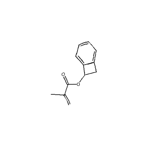 C=C(C)C(=O)OC1Cc2ccccc21